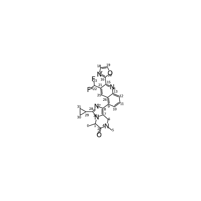 CC1C(=O)N(C)Cc2c(-c3cccc4nc(-c5ncco5)c(C(F)F)cc34)nc(C3CC3)n21